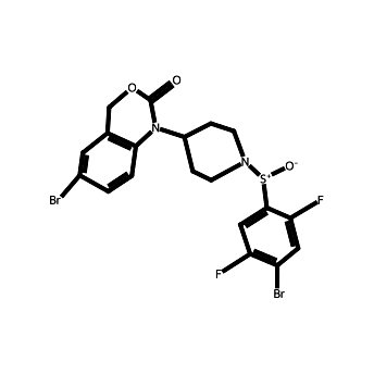 O=C1OCc2cc(Br)ccc2N1C1CCN([S+]([O-])c2cc(F)c(Br)cc2F)CC1